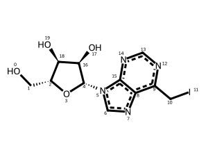 OC[C@H]1O[C@@H](n2cnc3c(CI)ncnc32)[C@H](O)[C@@H]1O